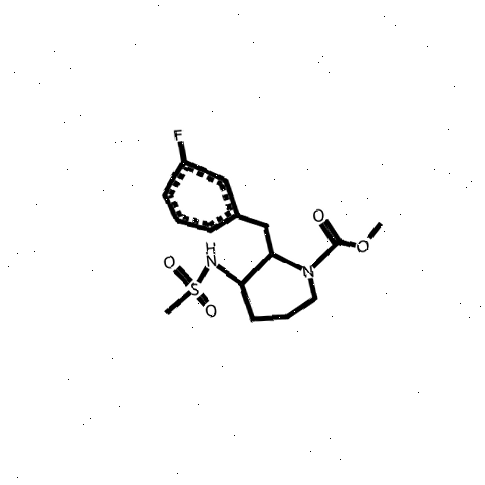 COC(=O)N1CCCC(NS(C)(=O)=O)C1Cc1cccc(F)c1